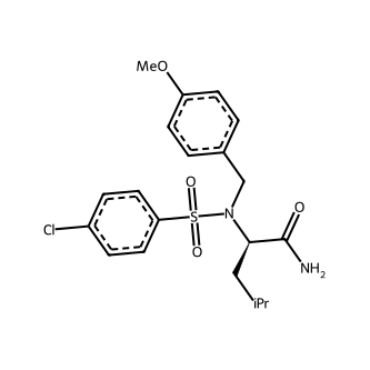 COc1ccc(CN([C@H](CC(C)C)C(N)=O)S(=O)(=O)c2ccc(Cl)cc2)cc1